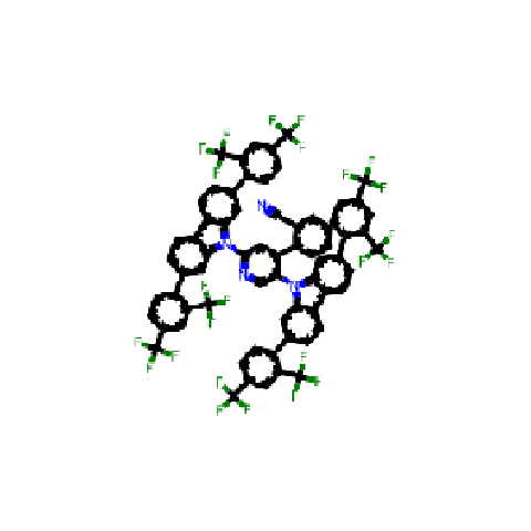 N#Cc1ccccc1-c1cc(-n2c3cc(-c4ccc(C(F)(F)F)cc4C(F)(F)F)ccc3c3ccc(-c4ccc(C(F)(F)F)cc4C(F)(F)F)cc32)ncc1-n1c2cc(-c3ccc(C(F)(F)F)cc3C(F)(F)F)ccc2c2ccc(-c3ccc(C(F)(F)F)cc3C(F)(F)F)cc21